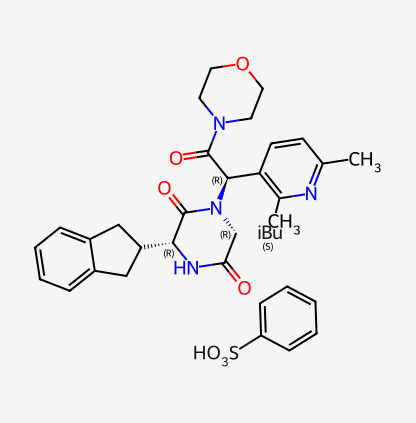 CC[C@H](C)[C@@H]1C(=O)N[C@H](C2Cc3ccccc3C2)C(=O)N1[C@@H](C(=O)N1CCOCC1)c1ccc(C)nc1C.O=S(=O)(O)c1ccccc1